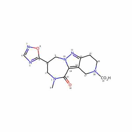 CN1CC(c2ncno2)Cn2nc3c(c2C1=O)CN(C(=O)O)CC3